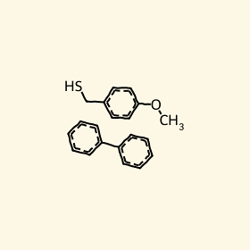 COc1ccc(CS)cc1.c1ccc(-c2ccccc2)cc1